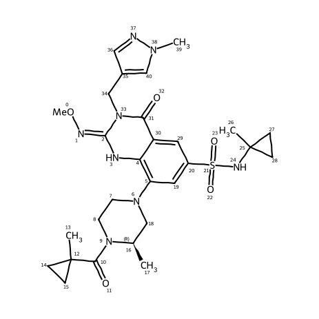 CON=c1[nH]c2c(N3CCN(C(=O)C4(C)CC4)[C@H](C)C3)cc(S(=O)(=O)NC3(C)CC3)cc2c(=O)n1Cc1cnn(C)c1